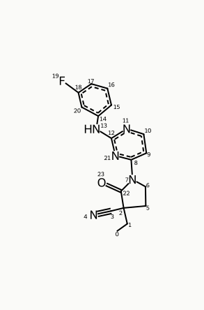 CCC1(C#N)CCN(c2ccnc(Nc3cccc(F)c3)n2)C1=O